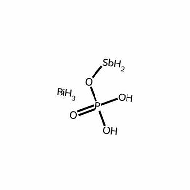 O=P(O)(O)[O][SbH2].[BiH3]